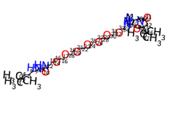 CC(C)(C)CCCCNC(=O)NCCOCCOCCOCCOCCOCCOCCOCCn1cc(CN2C(=O)CC(C(C)(C)C)C2=O)nn1